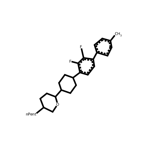 CCCCCC1CCC(C2CCC(c3ccc(-c4ccc(C)cc4)c(F)c3F)CC2)OC1